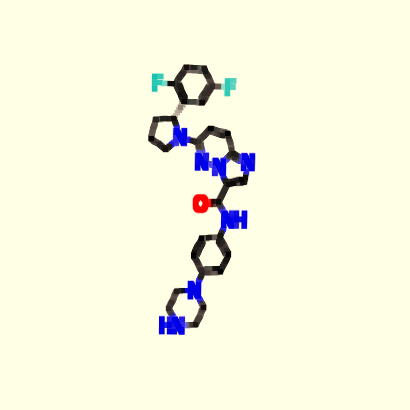 O=C(Nc1ccc(N2CCNCC2)cc1)c1cnc2ccc(N3CCC[C@@H]3c3cc(F)ccc3F)nn12